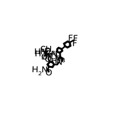 CNS(=O)(=O)CCNc1ccc(-c2ccc(C(F)(F)F)cc2)cc1-c1ccn(Cc2cc(OC(C)C)cc(C(N)=O)c2)n1